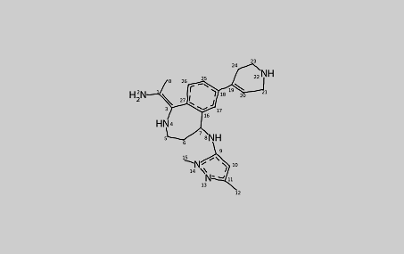 C/C(N)=C1/NCCC(Nc2cc(C)nn2C)c2cc(C3=CCNCC3)ccc21